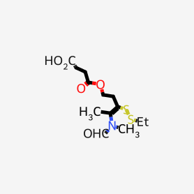 CCSSC(CCOC(=O)CCC(=O)O)=C(C)N(C)C=O